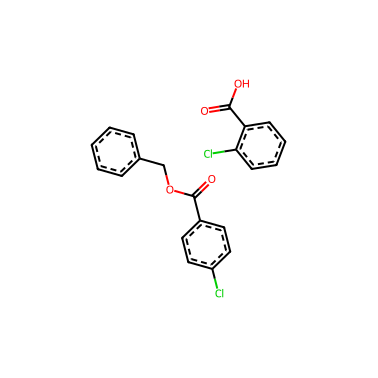 O=C(O)c1ccccc1Cl.O=C(OCc1ccccc1)c1ccc(Cl)cc1